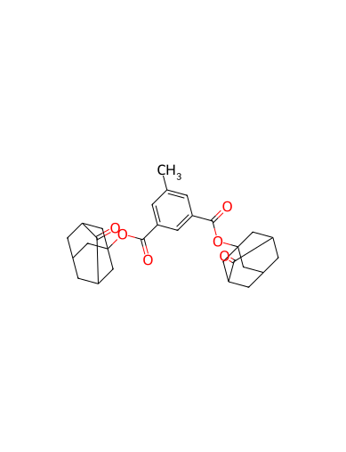 Cc1cc(C(=O)OC23CC4CC(C2)C(=O)C(C4)C3)cc(C(=O)OC23CC4CC(C2)C(=O)C(C4)C3)c1